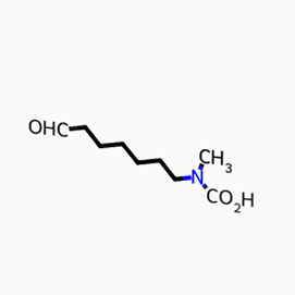 CN(CCCCCCC=O)C(=O)O